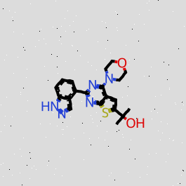 CC(C)(O)c1cc2c(N3CCOCC3)nc(-c3cccc4[nH]ncc34)nc2s1